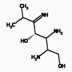 CC(C)C(=N)[C@@H](O)C(N)C(N)CO